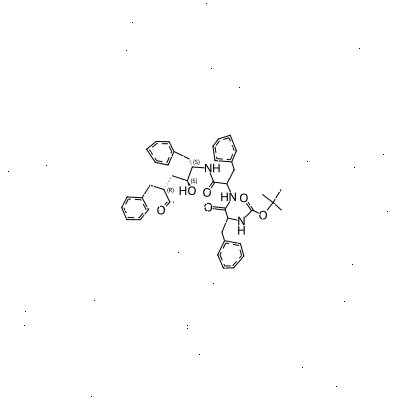 CC(C)(C)OC(=O)NC(Cc1ccccc1)C(=O)NC(Cc1ccccc1)C(=O)N[C@@H](Cc1ccccc1)[C@@H](O)C[C@H]([C]=O)Cc1ccccc1